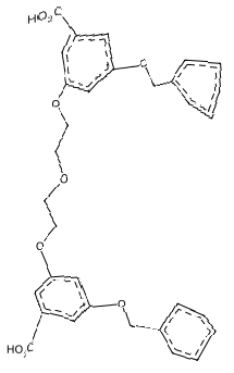 O=C(O)c1cc(OCCOCCOc2cc(OCc3ccccc3)cc(C(=O)O)c2)cc(OCc2ccccc2)c1